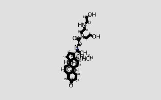 C/C(=N\OC(=O)N(CCO)CCNCCO)[C@H]1CC[C@H]2[C@@H]3CCC4=CC(=O)CC[C@]4(C)[C@H]3CC[C@]12C.Cl